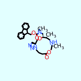 C[C@@H]1COC(=O)CCCn2nncc2CO[C@@H](CN(C)C(=O)OCC2c3ccccc3-c3ccccc32)[C@@H](C)CN1